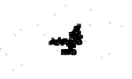 CCOCCOCCN(CCC(=O)O)C(=O)c1ccc(SC)cc1